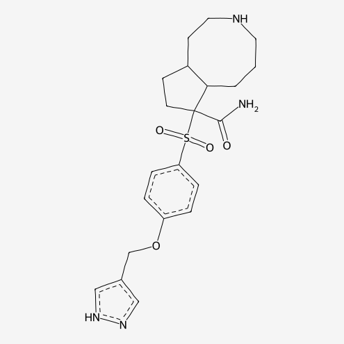 NC(=O)C1(S(=O)(=O)c2ccc(OCc3cn[nH]c3)cc2)CCC2CCNCCCC21